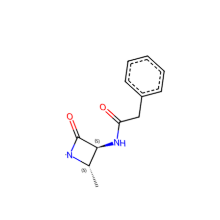 C[C@@H]1[N]C(=O)[C@H]1NC(=O)Cc1ccccc1